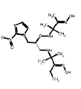 CCC(=NO)C(C)(C)NC[C@H](Cn1ccnc1[N+](=O)[O-])ONC(C)(C)C(C)=NO